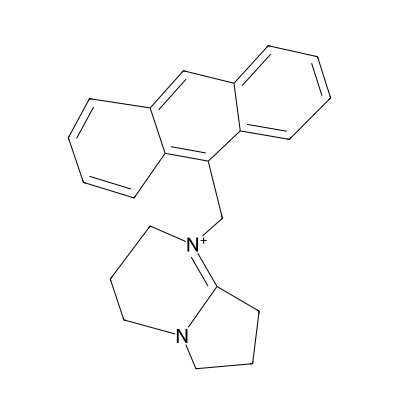 c1ccc2c(C[N+]3=C4CCCN4CCC3)c3ccccc3cc2c1